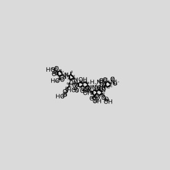 Cc1cc(N=Nc2c(S(=O)(=O)O)cc3c(S(=O)(=O)O)c(N=Nc4cc(S(=O)(=O)O)c5cc(SOOO)c(N=Nc6ccc([N+](=O)[O-])cc6S(=O)(=O)ON)c(O)c5c4N)ccc3c2O)c(OCCCSOOO)cc1N=Nc1ccc(S(=O)(=O)O)cc1C(=O)O